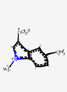 Cc1ccc2c(c1)c(C(=O)O)cn2C